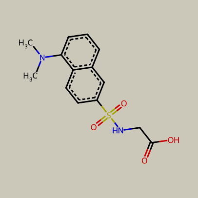 CN(C)c1cccc2cc(S(=O)(=O)NCC(=O)O)ccc12